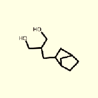 OCC(CO)CC1CC2CCC1C2